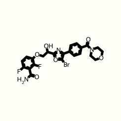 NC(=O)c1c(F)ccc(OCC(O)c2nc(-c3ccc(C(=O)N4CCOCC4)cc3)c(Br)o2)c1F